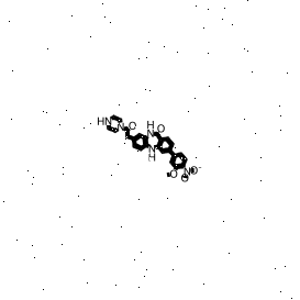 COc1cc(-c2ccc3c(c2)Nc2ccc(CC(=O)N4CCNCC4)cc2NC3=O)ccc1[N+](=O)[O-]